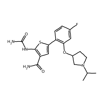 CC(C)N1CCC(Oc2cc(F)ccc2-c2cc(C(N)=O)c(NC(N)=O)s2)C1